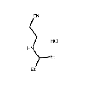 CCC(CC)NCCC#N.Cl